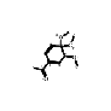 COC1C=C(C(C)=O)C=CC1(OC)OC